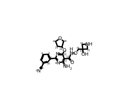 N#Cc1cccc(-c2nc(N)c(C(=O)NOCC3(O)CNC3)c(OC3CCOC3)n2)c1